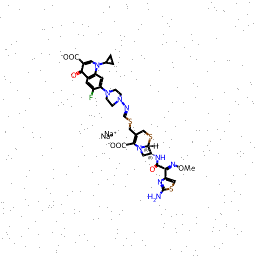 CON=C(C(=O)N[C@@H]1CN2C(C(=O)[O-])=C(CSC=NN3CCN(c4cc5c(cc4F)c(=O)c(C(=O)[O-])cn5C4CC4)CC3)CS[C@H]12)c1csc(N)n1.[Na+].[Na+]